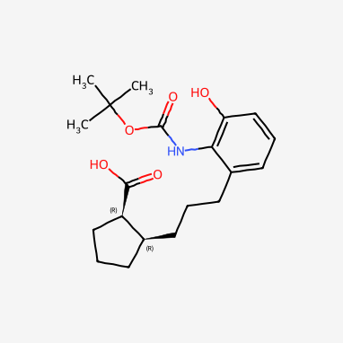 CC(C)(C)OC(=O)Nc1c(O)cccc1CCC[C@H]1CCC[C@H]1C(=O)O